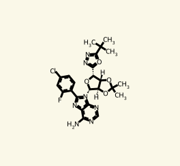 CC1(C)O[C@@H]2[C@@H](O1)[C@H](n1c(-c3ccc(Cl)cc3F)nc3c(N)ncnc31)O[C@@H]2c1nnc(C(C)(C)C)o1